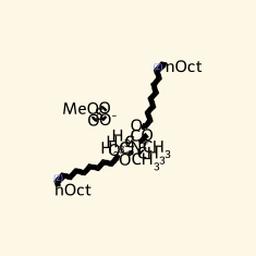 CCCCCCCC/C=C\CCCCCCCC(=O)OC(C)(C)[N+](C)(C)C(C)(C)OC(=O)CCCCCCC/C=C\CCCCCCCC.COS(=O)(=O)[O-]